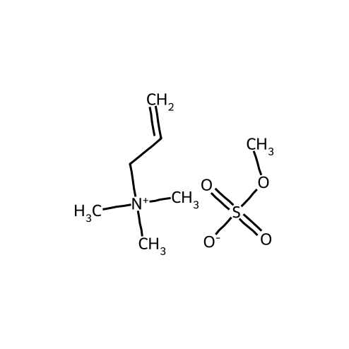 C=CC[N+](C)(C)C.COS(=O)(=O)[O-]